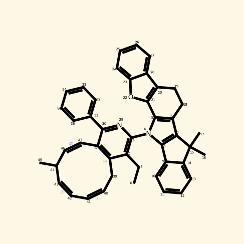 CCc1c(-n2c3c(c4c2-c2ccccc2C4(C)C)CCc2c-3oc3ccccc23)nc(-c2ccccc2)c2c1C/C=C\C=C/C(C)/C=C\2